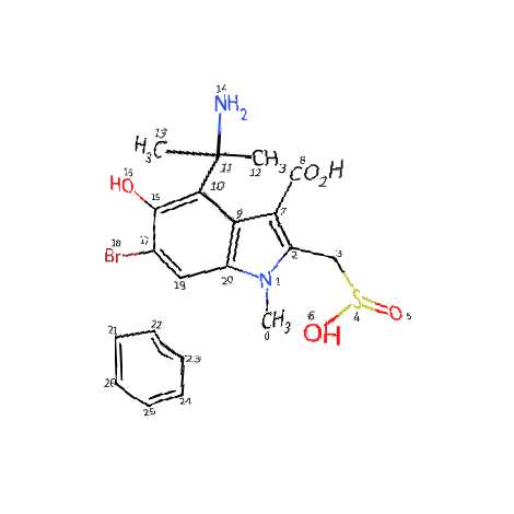 Cn1c(CS(=O)O)c(C(=O)O)c2c(C(C)(C)N)c(O)c(Br)cc21.c1ccccc1